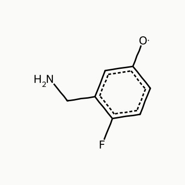 NCc1cc([O])ccc1F